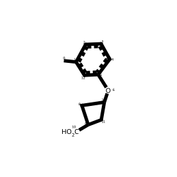 Cc1cccc(OC2CC(C(=O)O)C2)c1